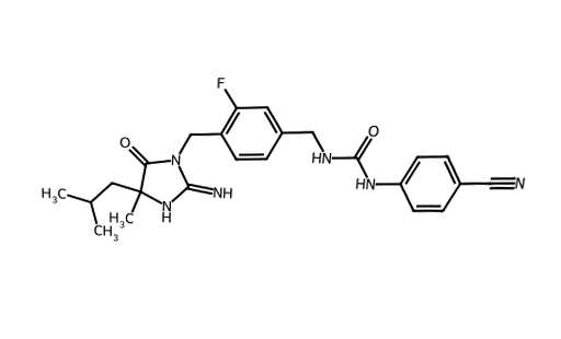 CC(C)CC1(C)NC(=N)N(Cc2ccc(CNC(=O)Nc3ccc(C#N)cc3)cc2F)C1=O